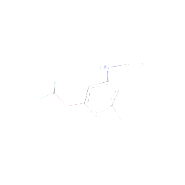 O=C(O)Nc1cc(Cl)cc(OC(F)F)c1